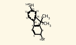 CC1(C)C2=C(C=CC(Br)C2)c2ccc(S)cc21